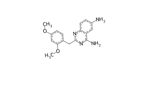 COc1ccc(Cc2nc(N)c3cc(N)ccc3n2)c(OC)c1